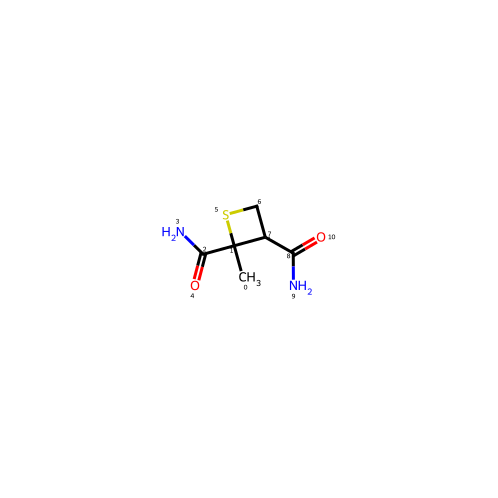 CC1(C(N)=O)SC[C]1C(N)=O